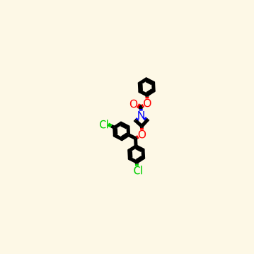 O=C(Oc1ccccc1)N1CC(OC(c2ccc(Cl)cc2)c2ccc(Cl)cc2)C1